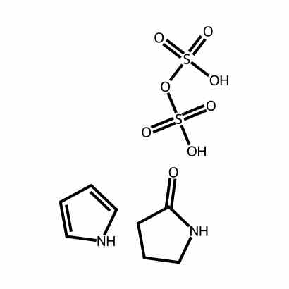 O=C1CCCN1.O=S(=O)(O)OS(=O)(=O)O.c1cc[nH]c1